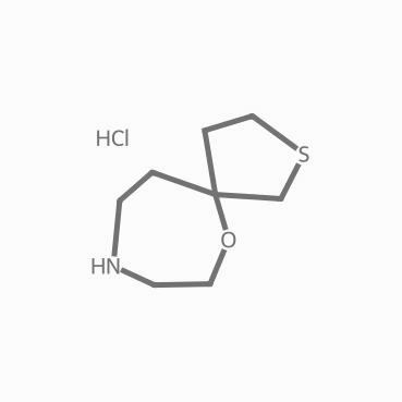 C1COC2(CCN1)CCSC2.Cl